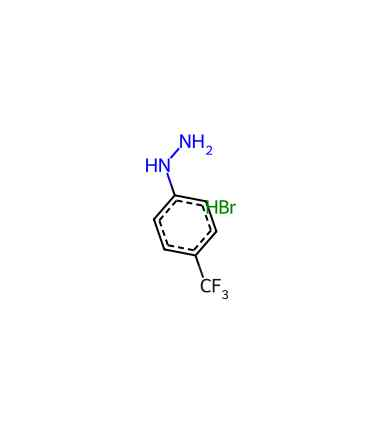 Br.NNc1ccc(C(F)(F)F)cc1